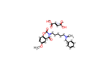 COc1ccc2oc(=O)n(CCCCCN(C)Cc3ccccc3)c(=O)c2c1.O=C(O)/C=C/C(=O)O